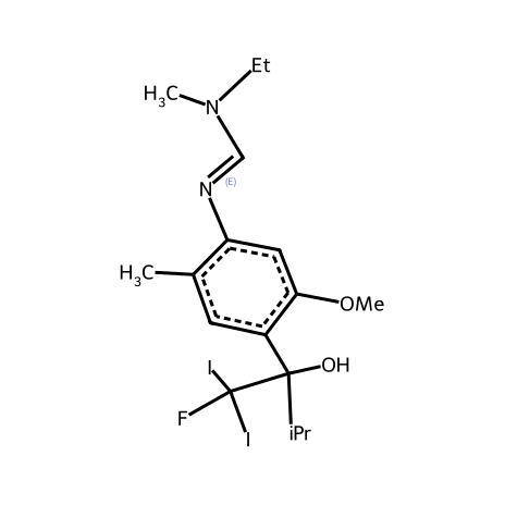 CCN(C)/C=N/c1cc(OC)c(C(O)(C(C)C)C(F)(I)I)cc1C